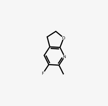 Cc1nc2c(cc1F)CCO2